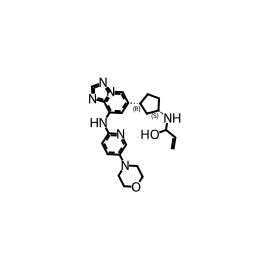 C=CC(O)N[C@H]1CC[C@@H](c2cc(Nc3ccc(N4CCOCC4)cn3)c3ncnn3c2)C1